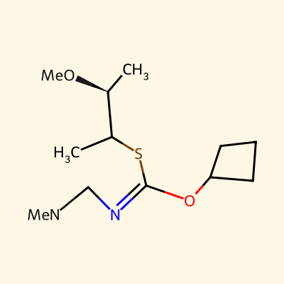 CNC/N=C(/OC1CCC1)SC(C)[C@H](C)OC